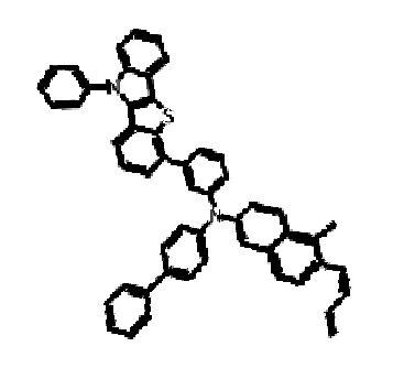 C=C/C=C\c1ccc2cc(N(c3ccc(-c4ccccc4)cc3)c3cccc(-c4cccc5c4sc4c6ccccc6n(-c6ccccc6)c54)c3)ccc2c1C